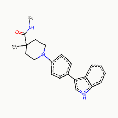 CCC1(C(=O)NC(C)C)CCN(c2ccc(-c3c[nH]c4ccccc34)cc2)CC1